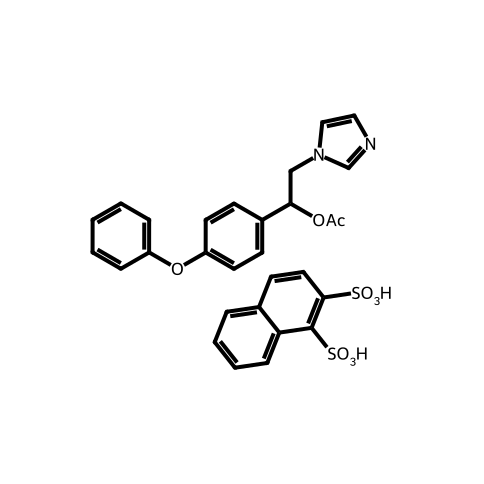 CC(=O)OC(Cn1ccnc1)c1ccc(Oc2ccccc2)cc1.O=S(=O)(O)c1ccc2ccccc2c1S(=O)(=O)O